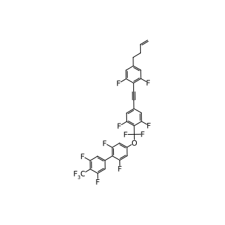 C=CCCc1cc(F)c(C#Cc2cc(F)c(C(F)(F)Oc3cc(F)c(-c4cc(F)c(C(F)(F)F)c(F)c4)c(F)c3)c(F)c2)c(F)c1